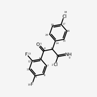 N=C(Cl)C(C(=O)c1ccc(F)cc1F)c1ccc(Cl)cc1